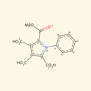 COC(=O)c1c(C(=O)O)c(C(=O)O)c(C(=O)O)n1-c1ccccc1